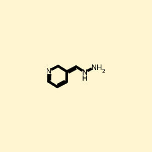 NNC=C1C=CC=NC1